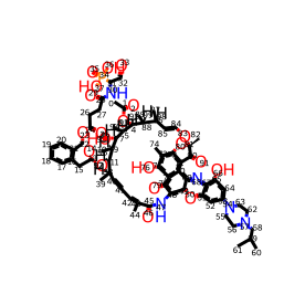 CC(=O)O[C@H]1[C@H](C)[C@H](O)[C@H](C)[C@@H](OC(=O)Cc2ccccc2COC(=O)CCC(=O)NC(C=O)P(=O)(O)O)[C@@H](C)/C=C/C=C(/C)C(=O)Nc2c3oc4cc(N5CCN(CC(C)C)CC5)cc(O)c4nc-3c3c4c(c(C)c(O)c3c2=O)O[C@](C)(O/C=C/[C@H](C)[C@H]1C)C4=O